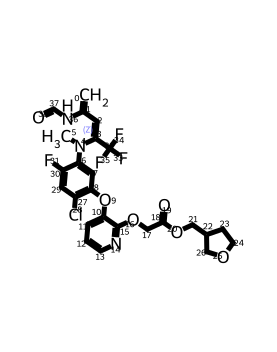 C=C(/C=C(\N(C)c1cc(Oc2cccnc2OCC(=O)OCC2CCOC2)c(Cl)cc1F)C(F)(F)F)NC=O